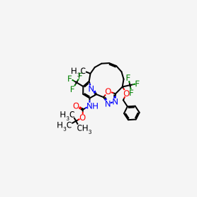 CC1CCC=CCCC(OCc2ccccc2)(C(F)(F)F)c2nnc(o2)-c2nc1c(C(F)(F)F)cc2NC(=O)OC(C)(C)C